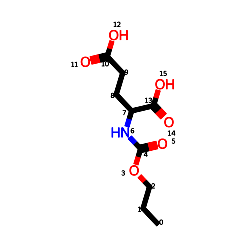 CCCOC(=O)NC(CCC(=O)O)C(=O)O